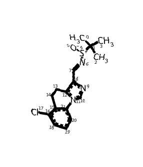 CC(C)(C)[S@+]([O-])/N=C/c1ncn2c1CCc1c(Cl)cccc1-2